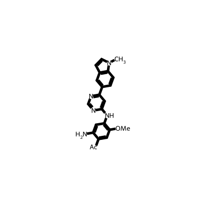 COc1cc(C(C)=O)c(N)cc1Nc1cc(-c2ccc3c(ccn3C)c2)ncn1